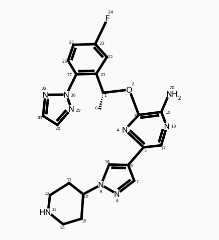 C[C@@H](Oc1nc(-c2cnn(C3CCNCC3)c2)cnc1N)c1cc(F)ccc1-n1nccn1